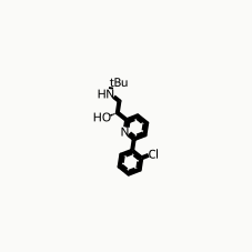 CC(C)(C)NC[C@@H](O)c1cccc(-c2ccccc2Cl)n1